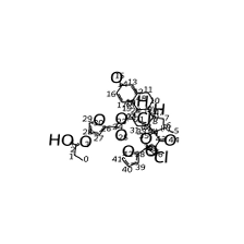 CCC(=O)O.C[C@@H]1C[C@H]2[C@@H]3CCC4=CC(=O)C=C[C@]4(C)C3(Cl)[C@@H](OC(=O)c3ccco3)C[C@]2(C)[C@@]1(OC(=O)c1ccco1)C(=O)CCl